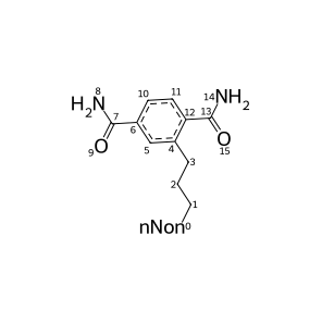 CCCCCCCCCCCCc1cc(C(N)=O)ccc1C(N)=O